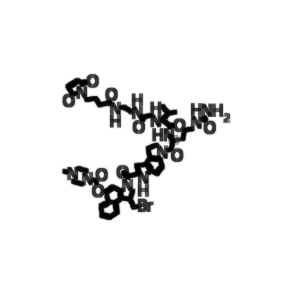 CC(C)[C@H](NCC(=O)NCCNC(=O)CCCN1C(=O)C=CC1=O)C(=O)N[C@@H](CCCNC(N)=O)C(=O)N1CCc2c1ccc1[nH]c(C(=O)N3CC(CBr)c4c3cc(OC(=O)N3CCN(C)CC3)c3ccccc43)cc21